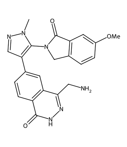 COc1ccc2c(c1)C(=O)N(c1c(-c3ccc4c(=O)[nH]nc(CN)c4c3)cnn1C)C2